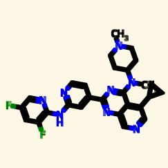 CN1CCC(N(C)c2nc(-c3ccnc(Nc4ncc(F)cc4F)c3)nc3cncc(C4CC4)c23)CC1